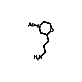 CC(=O)N1CCOC(CCCN)C1